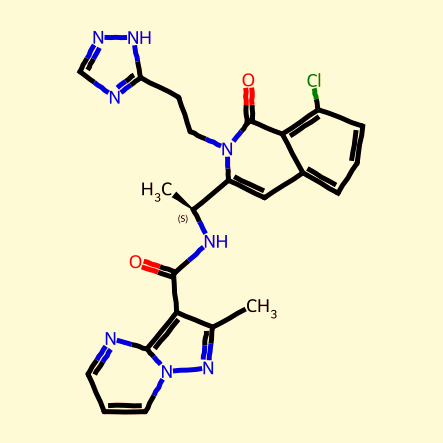 Cc1nn2cccnc2c1C(=O)N[C@@H](C)c1cc2cccc(Cl)c2c(=O)n1CCc1ncn[nH]1